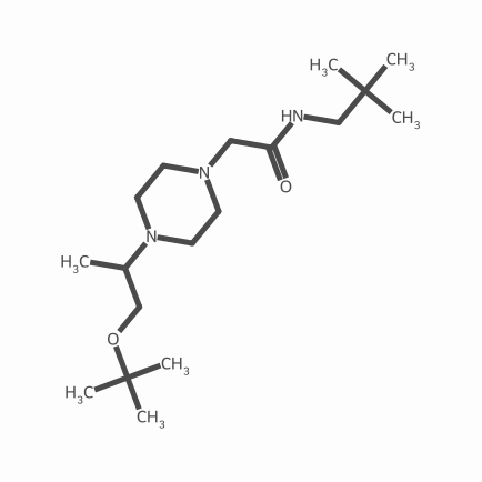 CC(COC(C)(C)C)N1CCN(CC(=O)NCC(C)(C)C)CC1